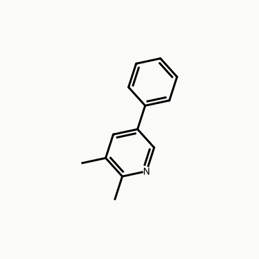 Cc1cc(-c2ccccc2)cnc1C